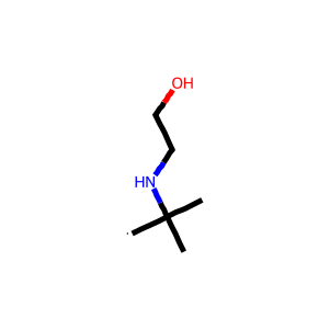 [CH2]C(C)(C)NCCO